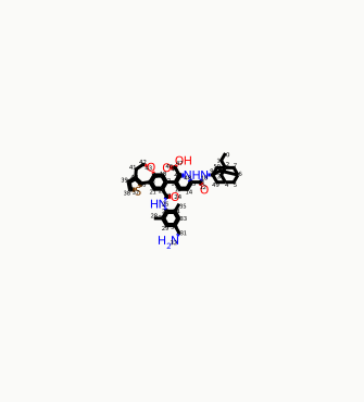 CCC12CC3CC(C1)CC(NC(=O)c1ccc(-c4cc5c(cc4C(=O)Nc4c(C)cc(CN)cc4C)-c4sccc4CCO5)c(C(=O)O)n1)(C3)C2